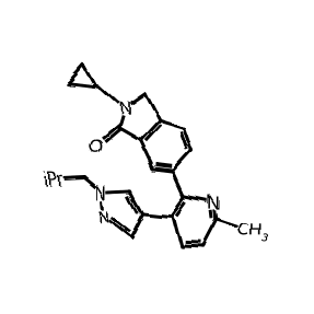 Cc1ccc(-c2cnn(CC(C)C)c2)c(-c2ccc3c(c2)C(=O)N(C2CC2)C3)n1